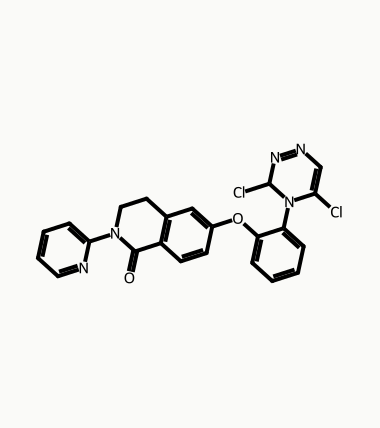 O=C1c2ccc(Oc3ccccc3N3C(Cl)=CN=NC3Cl)cc2CCN1c1ccccn1